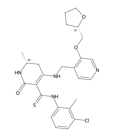 Cc1c(Cl)cccc1NC(=S)C1=C(NCc2ccncc2OC[C@@H]2CCCO2)C[C@@H](C)NC1=O